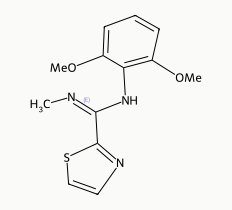 C/N=C(/Nc1c(OC)cccc1OC)c1nccs1